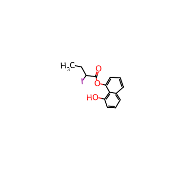 CCC(I)C(=O)Oc1cccc2cccc(O)c12